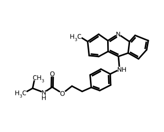 Cc1ccc2c(Nc3ccc(CCOC(=O)NC(C)C)cc3)c3ccccc3nc2c1